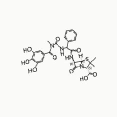 CN(C(=O)NC(C(=O)N[C@@H]1C(=O)N2[C@@H]1SC(C)(C)[C@@H]2C(=O)O)c1ccccc1)C(=O)c1cc(O)c(O)c(O)c1